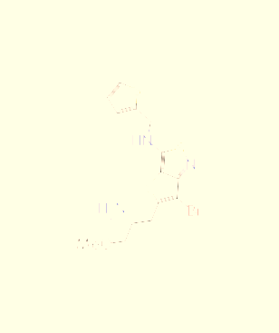 COC[C@H](N)Cc1sc2c(NCc3cccs3)snc2c1Br